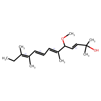 CC/C(C)=C(C)/C=C/C=C(\C)C(/C=C/C(C)(C)O)OC